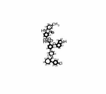 CN1CCC(Nc2ccc(S(=O)(=O)NC(=O)c3ccc(N4CCN(CC5=C(c6ccc(Cl)cc6)CCCCC5)CC4)cc3Oc3cccc4[nH]ccc34)cc2N=O)CC1